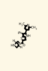 Cc1cc(-c2[nH]c3cc(C(=O)N4C[C@@H]5C[C@H]4CN5)sc3c2C(C)C)cc(C)n1